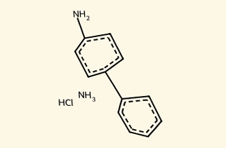 Cl.N.Nc1ccc(-c2ccccc2)cc1